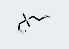 CC(=O)OCC[N+](C)(C)CC(=O)O